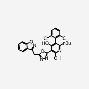 CCCCc1nc(O)c(-c2nnc(Cc3noc4ccccc34)o2)c(O)c1-c1c(Cl)cccc1Cl